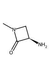 CN1C[C@@H](N)C1=O